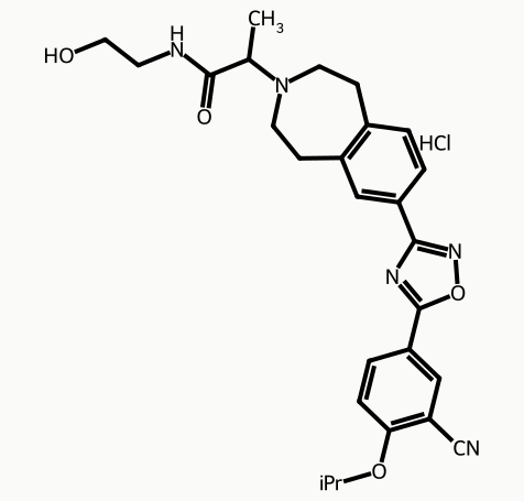 CC(C)Oc1ccc(-c2nc(-c3ccc4c(c3)CCN(C(C)C(=O)NCCO)CC4)no2)cc1C#N.Cl